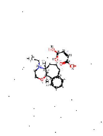 CCN1CCO[C@@H]2c3ccccc3CCC[C@H]21.O=C(O)/C=C\C(=O)O